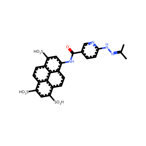 CC(C)=NNc1ccc(C(=O)Nc2cc(S(=O)(=O)O)c3ccc4c(S(=O)(=O)O)cc(S(=O)(=O)O)c5ccc2c3c54)cn1